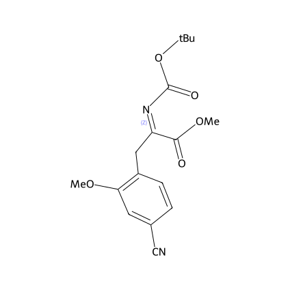 COC(=O)/C(Cc1ccc(C#N)cc1OC)=N\C(=O)OC(C)(C)C